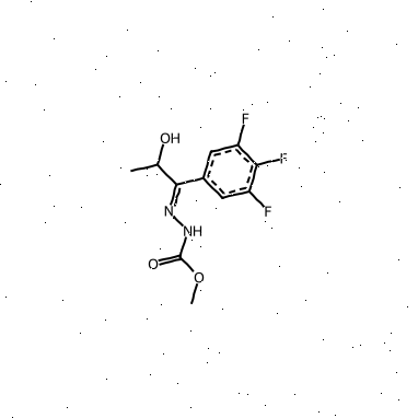 COC(=O)N/N=C(\c1cc(F)c(F)c(F)c1)C(C)O